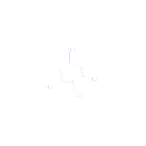 Nc1cc(N)c(O)c(C=O)c1